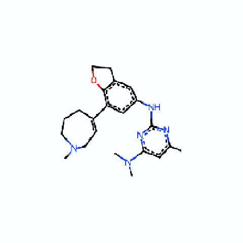 Cc1cc(N(C)C)nc(Nc2cc3c(c(C4=CCN(C)CCC4)c2)OCC3)n1